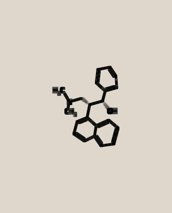 CN(C)C[C@@H](c1cccc2ccccc12)[C@@H](O)c1ccccc1